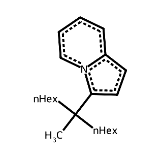 CCCCCCC(C)(CCCCCC)c1ccc2ccccn12